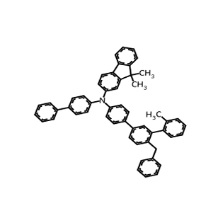 Cc1ccccc1-c1cc(-c2ccc(N(c3ccc(-c4ccccc4)cc3)c3ccc4c(c3)C(C)(C)c3ccccc3-4)cc2)ccc1Cc1ccccc1